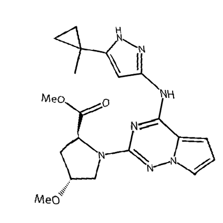 COC(=O)[C@@H]1C[C@@H](OC)CN1c1nc(Nc2cc(C3(C)CC3)[nH]n2)c2cccn2n1